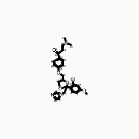 COc1ccc(C2(Cn3ccnc3)OCC(COc3ccc(C(=O)C=CN(C)C)cc3)O2)c(Cl)c1